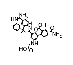 CC1(c2ccccc2)CC(c2cc(NCC(=O)O)cc(-c3ccc(C(N)=O)cc3C(=O)O)c2)Nc2ccc(C(=N)N)cc21